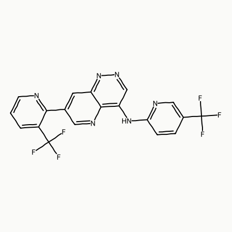 FC(F)(F)c1ccc(Nc2cnnc3cc(-c4ncccc4C(F)(F)F)cnc23)nc1